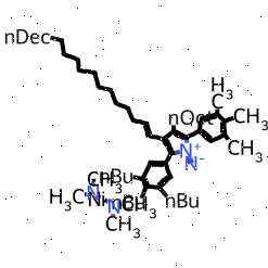 CCCCCCCCCCCCCCCCCCCCC=CC1=C(c2cc(CCCC)c(CCCC)c(CCCC)c2)[N+](=[N-])C(c2cc(C)c(C)c(C)c2)=C1CCCCCCCC.C[N](C)[Ni][N](C)C